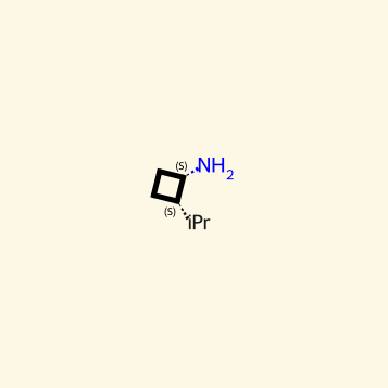 CC(C)[C@@H]1CC[C@@H]1N